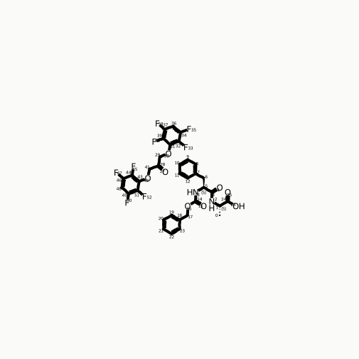 C[C@H](NC(=O)[C@H](Cc1ccccc1)NC(=O)OCc1ccccc1)C(=O)O.O=C(COc1c(F)c(F)cc(F)c1F)COc1c(F)c(F)cc(F)c1F